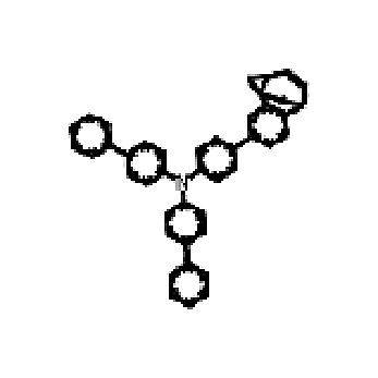 C1=CC2C3C=CC1c1ccc(-c4ccc(N(c5ccc(-c6ccccc6)cc5)c5ccc(-c6ccccc6)cc5)cc4)cc1C23